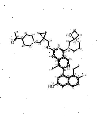 CCc1c(F)ccc2cc(O)cc(-c3ncc4c(N5CCC[C@]6(CCO6)C5)nc(OCC5(CN6CCC(C(C)=O)CC6)CC5)nc4c3F)c12